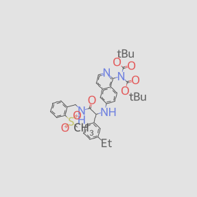 CCc1cccc(C(Nc2ccc3c(N(C(=O)OC(C)(C)C)C(=O)OC(C)(C)C)nccc3c2)C(=O)NCc2ccccc2S(C)(=O)=O)c1